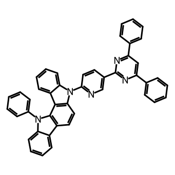 c1ccc(-c2cc(-c3ccccc3)nc(-c3ccc(-n4c5ccccc5c5c4ccc4c6ccccc6n(-c6ccccc6)c45)nc3)n2)cc1